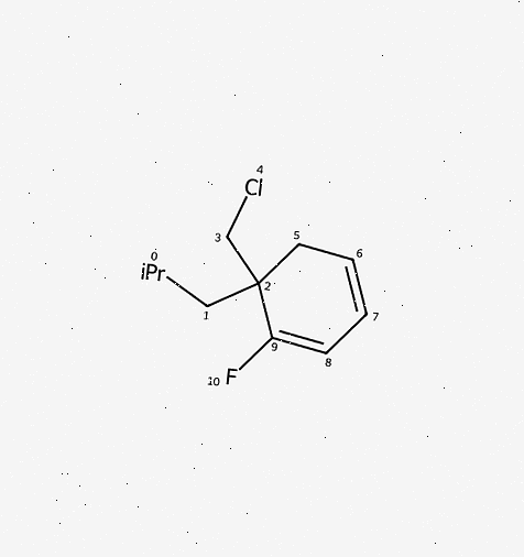 CC(C)CC1(CCl)CC=CC=C1F